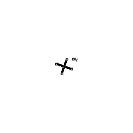 [CH3].[Cl][Pb]([Cl])([Cl])[Cl]